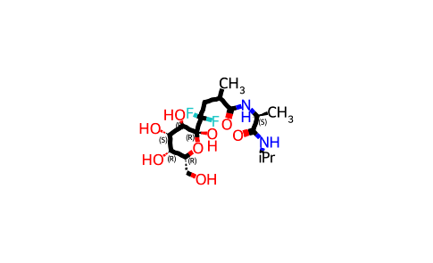 CC(C)NC(=O)[C@H](C)NC(=O)C(C)CC(F)(F)[C@]1(O)O[C@H](CO)[C@H](O)[C@H](O)[C@H]1O